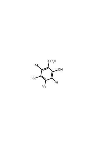 [2H]c1c([2H])c([2H])c(C(=O)O)c(O)c1[2H]